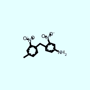 Cc1ccc(Cc2ccc(N)cc2[N+](=O)[O-])c([N+](=O)[O-])c1